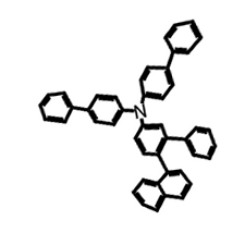 c1ccc(-c2ccc(N(c3ccc(-c4ccccc4)cc3)c3ccc(-c4cccc5ccccc45)c(-c4ccccc4)c3)cc2)cc1